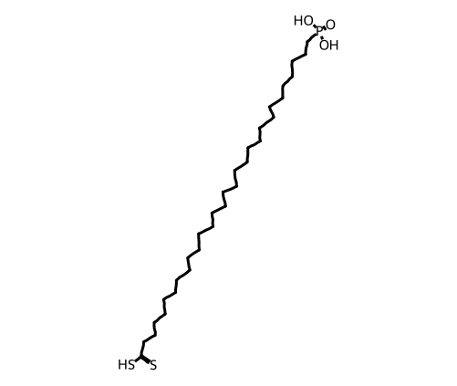 O=P(O)(O)CCCCCCCCCCCCCCCCCCCCCCCCCCCCCC(=S)S